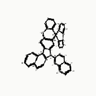 c1ccc2c(c1)Oc1cc3c4c5ccccc5ccc4n(-c4ccc5ccccc5c4)c3cc1C21c2ccccc2-c2ccccc21